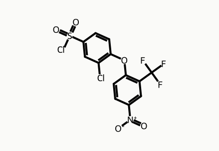 O=[N+]([O-])c1ccc(Oc2ccc(S(=O)(=O)Cl)cc2Cl)c(C(F)(F)F)c1